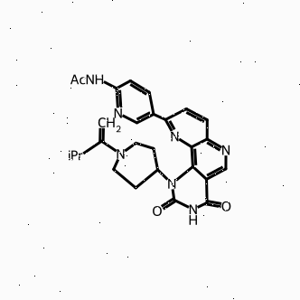 C=C(C(C)C)N1CCC(n2c(=O)[nH]c(=O)c3cnc4ccc(-c5ccc(NC(C)=O)nc5)nc4c32)CC1